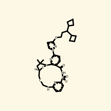 CC1(C)C[C@@H]2CCCNc3cccc(n3)S(=O)(=O)NC(=O)c3ccc(-n4ccc(OCCC(C5CCC5)C5CCC5)n4)nc3N1C2